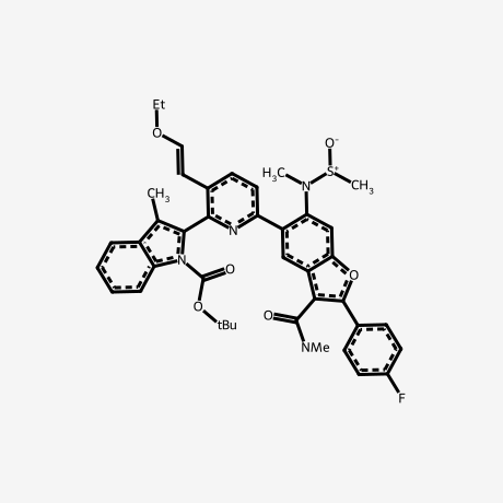 CCO/C=C/c1ccc(-c2cc3c(C(=O)NC)c(-c4ccc(F)cc4)oc3cc2N(C)[S+](C)[O-])nc1-c1c(C)c2ccccc2n1C(=O)OC(C)(C)C